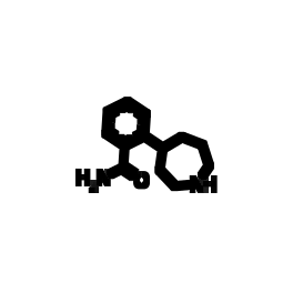 NC(=O)c1ccccc1C1CCCNCC1